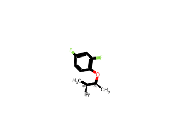 CC(C)[C@@H](C)[C@H](C)Oc1ccc(F)cc1F